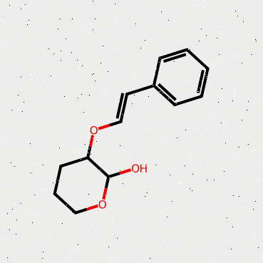 OC1OCCCC1OC=Cc1ccccc1